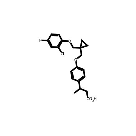 CC(CC(=O)O)c1ccc(OCC2(COc3ccc(F)cc3Cl)CC2)cc1